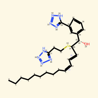 CCCCCCCCC/C=C\C=C\[C@@H](SCCc1nnn[nH]1)[C@@H](O)c1cccc(-c2nnn[nH]2)c1